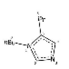 CCCCn1cncc1C(C)C